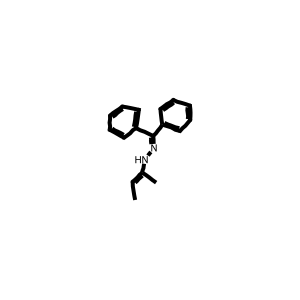 C/C=C(\C)NN=C(c1ccccc1)c1ccccc1